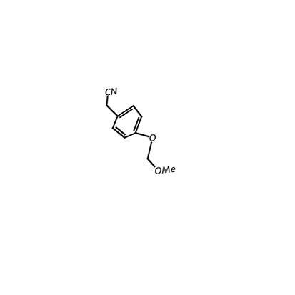 COCOc1ccc(CC#N)cc1